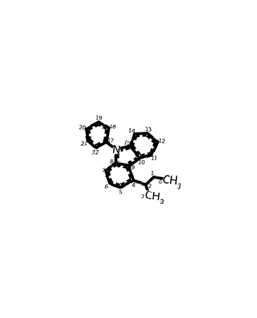 CCC(C)c1cccc2c1c1ccccc1n2-c1ccccc1